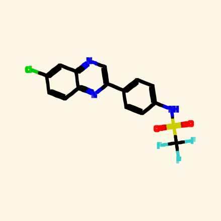 O=S(=O)(Nc1ccc(-c2cnc3cc(Cl)ccc3n2)cc1)C(F)(F)F